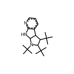 CC(C)(C)C1C2c3cccnc3NC2N(C(C)(C)C)C1C(C)(C)C